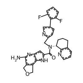 Nc1nc2cc(C(=O)N(Cc3ccc(-c4c(F)cccc4F)cn3)[C@@H]3CCCc4cccnc43)[nH]c2c2c1COC2